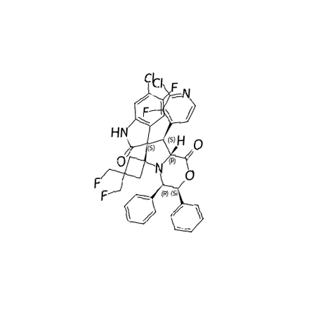 O=C1O[C@@H](c2ccccc2)[C@@H](c2ccccc2)N2[C@@H]1[C@H](c1ccnc(Cl)c1F)[C@@]1(C(=O)Nc3cc(Cl)c(F)cc31)C21CC(CF)(CF)C1